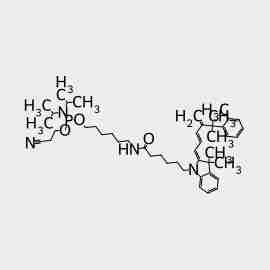 C=C(/C=C/C=C1/N(CCCCCC(=O)NCCCCCCOP(OCCC#N)N(C(C)C)C(C)C)c2ccccc2C1(C)C)C(C)(C)c1ccccc1C